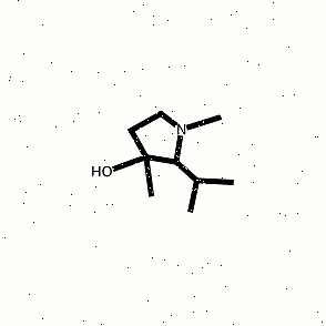 CC(C)C1N(C)CCC1(C)O